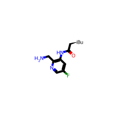 CC[C@H](C)CC(=O)Nc1cc(F)cnc1CN